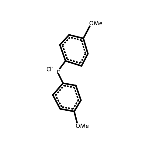 COc1ccc([I+]c2ccc(OC)cc2)cc1.[Cl-]